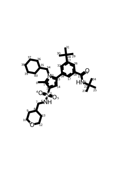 Cc1c(S(=O)(=O)NCC2CCOCC2)cc(-c2cc(C(=O)NC(C)(C)C)cc(C(C)(C)C)c2)n1CC1CCCCC1